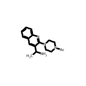 CC(=O)N1CCN(c2nc3ccccc3cc2C(C)N)CC1